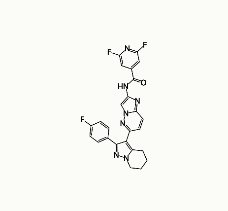 O=C(Nc1cn2nc(-c3c(-c4ccc(F)cc4)nn4c3CCCC4)ccc2n1)c1cc(F)nc(F)c1